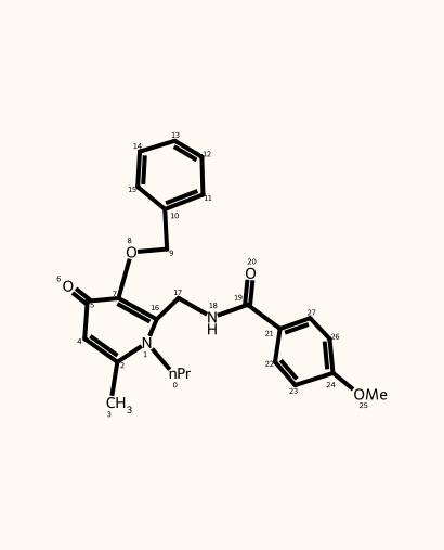 CCCn1c(C)cc(=O)c(OCc2ccccc2)c1CNC(=O)c1ccc(OC)cc1